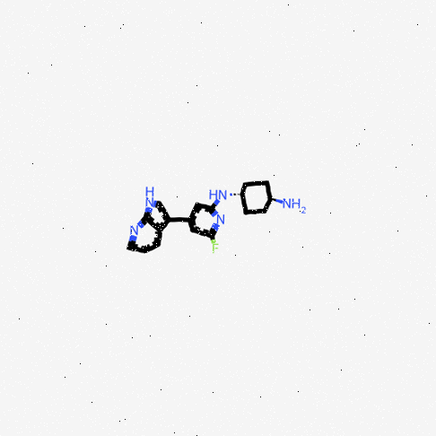 N[C@H]1CC[C@H](Nc2cc(-c3c[nH]c4ncccc34)cc(F)n2)CC1